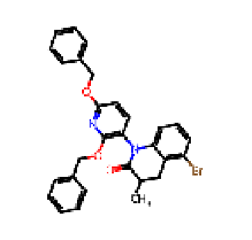 CC1Cc2c(Br)cccc2N(c2ccc(OCc3ccccc3)nc2OCc2ccccc2)C1=O